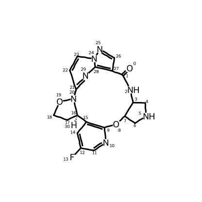 O=C1NC2CNCC2Oc2ncc(F)cc2[C@H]2CCON2c2ccn3ncc1c3n2